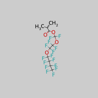 C=C(C)C(=O)OC(F)(F)OC(F)(F)C(F)(F)OC(F)(F)C(F)(F)C(F)(F)C(F)(F)F